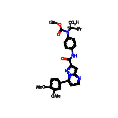 COc1ccc(-c2ccnc3cc(C(=O)Nc4ccc(N(C(=O)OC(C)(C)C)[C@H](C(=O)O)C(C)C)cc4)nn23)cc1OC